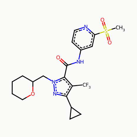 CS(=O)(=O)c1cc(NC(=O)c2c(C(F)(F)F)c(C3CC3)nn2CC2CCCCO2)ccn1